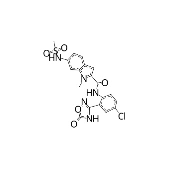 Cn1c(C(=O)Nc2ccc(Cl)cc2-c2noc(=O)[nH]2)cc2ccc(NS(C)(=O)=O)cc21